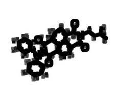 CC(C)CCN1C(=O)c2ccc3c4c(ccc(c24)C1=O)C(=O)N(N(c1ccccc1)c1ccccc1)C3=O